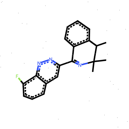 CC1c2ccccc2C(c2cc3cccc(F)c3nn2)=NC1(C)C